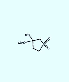 COC1(C(C)(C)C)CCS(=O)(=O)C1